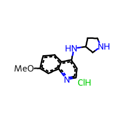 COc1ccc2c(NC3CCNC3)ccnc2c1.Cl